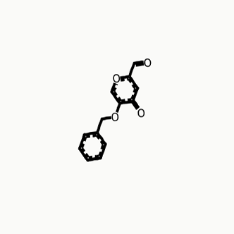 O=Cc1cc(=O)c(OCc2ccccc2)co1